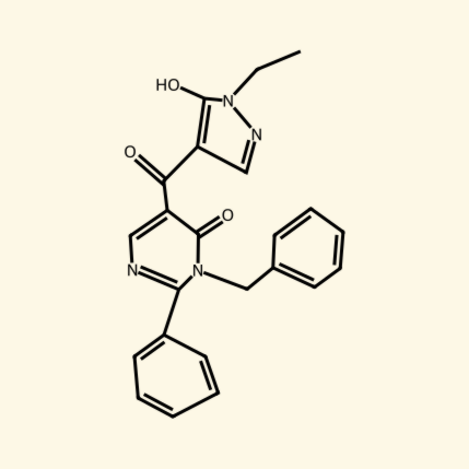 CCn1ncc(C(=O)c2cnc(-c3ccccc3)n(Cc3ccccc3)c2=O)c1O